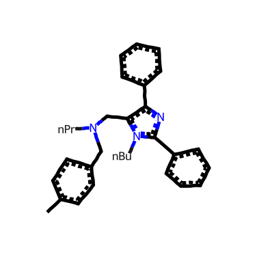 CCCCn1c(-c2ccccc2)nc(-c2ccccc2)c1CN(CCC)Cc1ccc(C)cc1